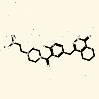 CN(C)CCN1CCN(C(=O)c2cc(Cc3n[nH]c(=O)c4c3CCCC4)ccc2F)CC1